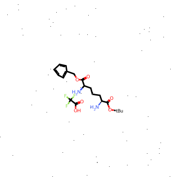 CC(C)(C)OC(=O)[C@@H](N)CCCC(N)C(=O)OCc1ccccc1.O=C(O)C(F)(F)F